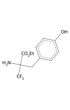 CCOC(=O)C(N)(Cc1ccc(O)cc1)C(F)(F)F